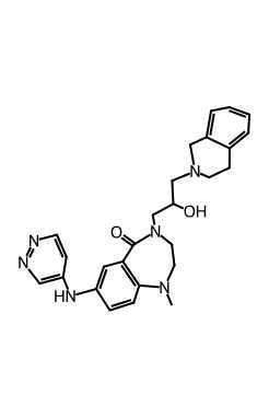 CN1CCN(CC(O)CN2CCc3ccccc3C2)C(=O)c2cc(Nc3ccnnc3)ccc21